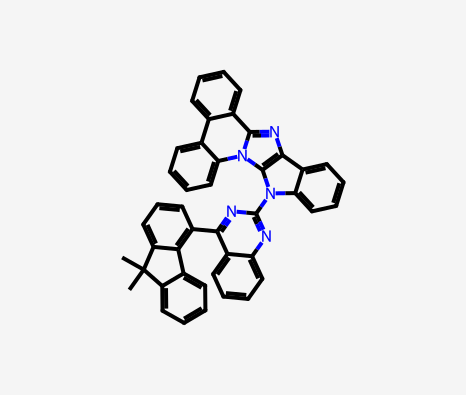 CC1(C)c2ccccc2-c2c(-c3nc(-n4c5ccccc5c5nc6c7ccccc7c7ccccc7n6c54)nc4ccccc34)cccc21